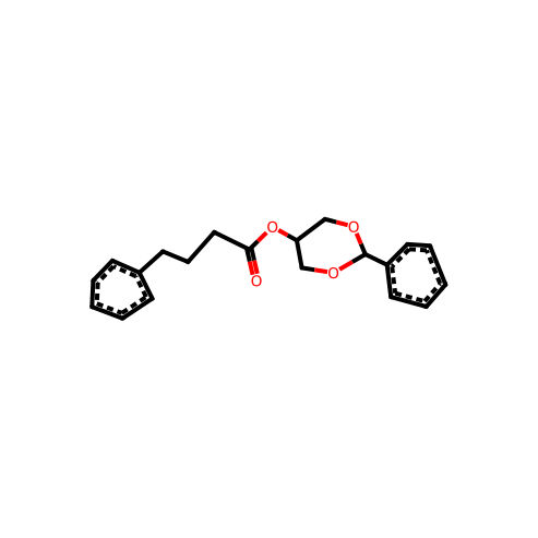 O=C(CCCc1ccccc1)OC1COC(c2ccccc2)OC1